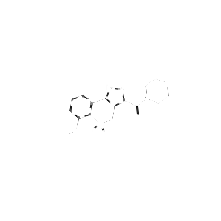 COc1cccc2c1S(=O)(=O)Cc1c(C(=O)N3CCOCC3)n[nH]c1-2